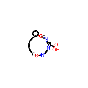 O=C(O)C1=C/C2=N\COc3ccccc3\C=C/C=C\C=C/CO/C=N\C=C/N1C2